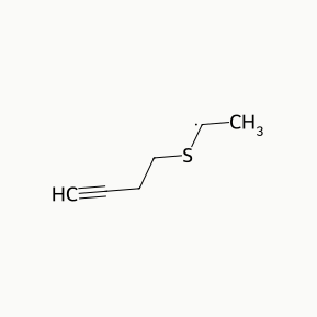 C#CCCS[CH]C